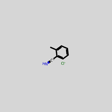 Cc1ccccc1[C+]=N.[Cl-]